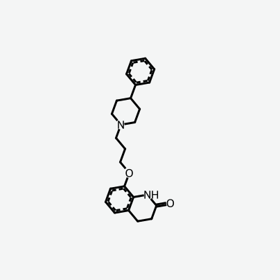 O=C1CCc2cccc(OCCCN3CCC(c4ccccc4)CC3)c2N1